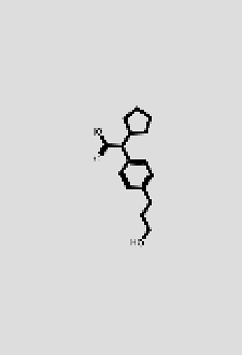 O=C(O)C(c1ccc(CCCO)cc1)C1CCCC1